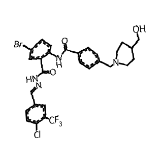 O=C(Nc1ccc(Br)cc1C(=O)NN=Cc1ccc(Cl)c(C(F)(F)F)c1)c1ccc(CN2CCC(CO)CC2)cc1